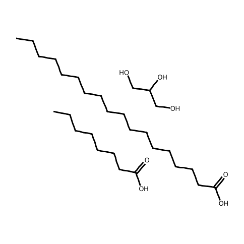 CCCCCCCC(=O)O.CCCCCCCCCCCCCCCCCC(=O)O.OCC(O)CO